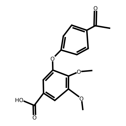 COc1cc(C(=O)O)cc(Oc2ccc(C(C)=O)cc2)c1OC